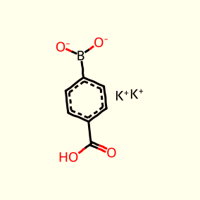 O=C(O)c1ccc(B([O-])[O-])cc1.[K+].[K+]